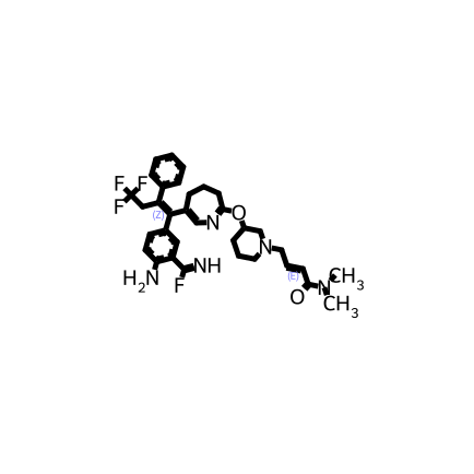 CN(C)C(=O)/C=C/CN1CCCC(OC2=NC=C(/C(=C(/CC(F)(F)F)c3ccccc3)c3ccc(N)c(C(=N)F)c3)CCC2)C1